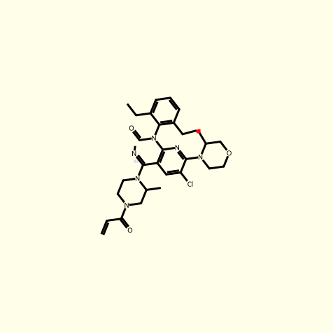 C=CC(=O)N1CCN(/C(=N/C)c2cc(Cl)c(N3CCOCC3C)nc2N(C=O)c2c(CC)cccc2CC)C(C)C1